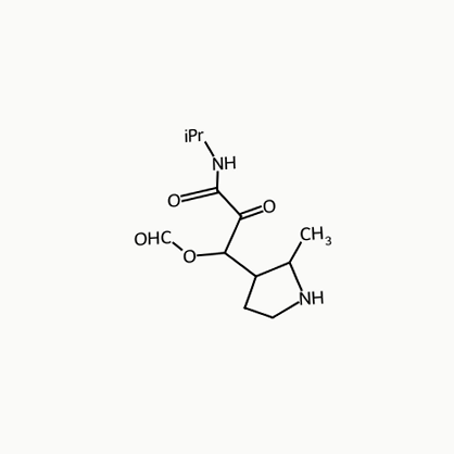 CC(C)NC(=O)C(=O)C(OC=O)C1CCNC1C